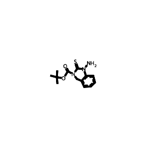 CC(C)(C)OC(=O)N1Cc2ccccc2N(N)C1=S